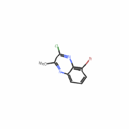 COc1nc2cccc(Br)c2nc1Cl